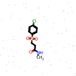 CNC(=O)CCS(=O)(=O)c1ccc(Cl)cc1